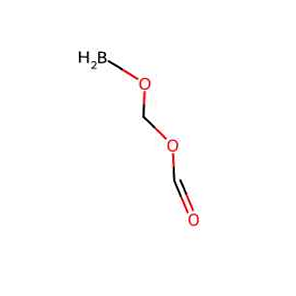 BOCOC=O